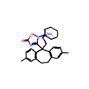 Cc1ccc2c(c1)CCc1cc(C)ccc1C2(CCN)c1nc(=O)on1C1CCCCC1